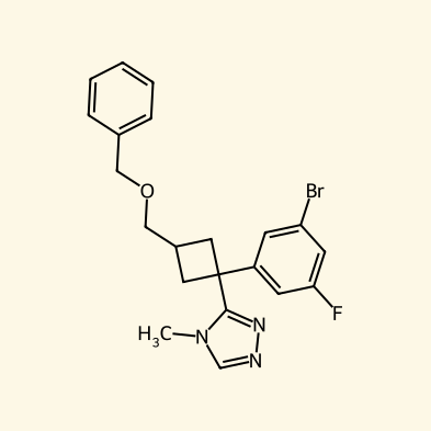 Cn1cnnc1C1(c2cc(F)cc(Br)c2)CC(COCc2ccccc2)C1